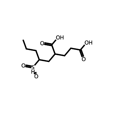 CCCC(CC(CCC(=O)O)C(=O)O)[SH](=O)=O